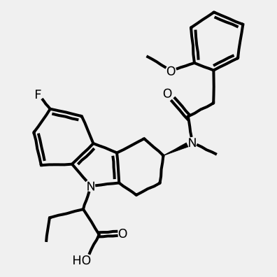 CCC(C(=O)O)n1c2c(c3cc(F)ccc31)C[C@@H](N(C)C(=O)Cc1ccccc1OC)CC2